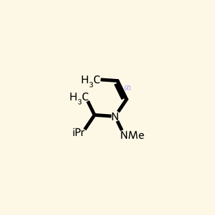 C/C=C\N(NC)C(C)C(C)C